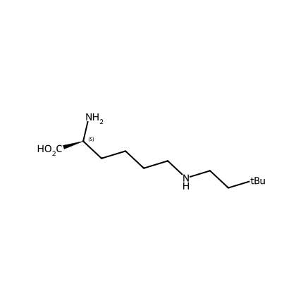 CC(C)(C)CCNCCCC[C@H](N)C(=O)O